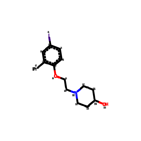 CC(C)c1cc(I)ccc1OCCN1CCC(O)CC1